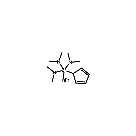 CC[CH2][Zr]([CH]1C=CC=C1)([N](C)C)([N](C)C)[N](C)C